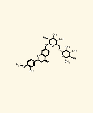 COc1ccc(C2CC(=O)c3ccc(O[C@@H]4O[C@H](CO[C@@H]5O[C@@H](C)[C@H](O)[C@@H](O)[C@H]5O)[C@@H](O)[C@H](O)[C@H]4O)cc3O2)cc1O